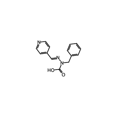 O=C(O)N(Cc1ccccc1)N=Cc1ccncc1